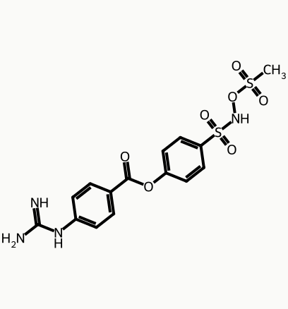 CS(=O)(=O)ONS(=O)(=O)c1ccc(OC(=O)c2ccc(NC(=N)N)cc2)cc1